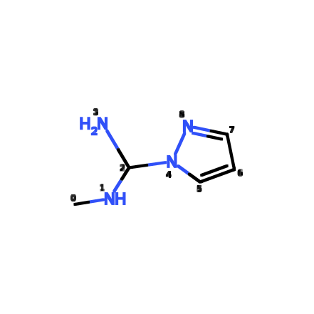 CNC(N)n1cccn1